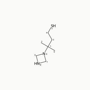 CC(C)(CCS)N1CNC1